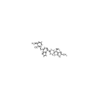 Cc1nc2c(s1)CC1(CCN(c3ncc(Sc4ccnc(N)c4Cl)c4nccn34)CC1)[C@@H]2N